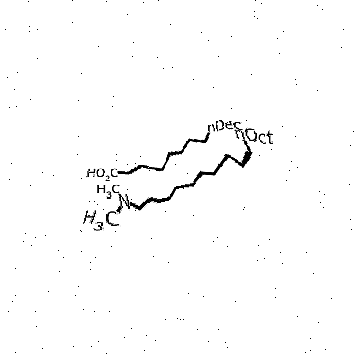 CCCCCCCC/C=C\CCCCCCCCN(C)C.CCCCCCCCCCCCCCCCCC(=O)O